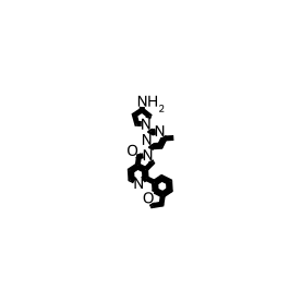 Cc1cc(N2Cc3c(ccnc3-c3cccc4c3OCC4)C2=O)nc(N2CCC(N)C2)n1